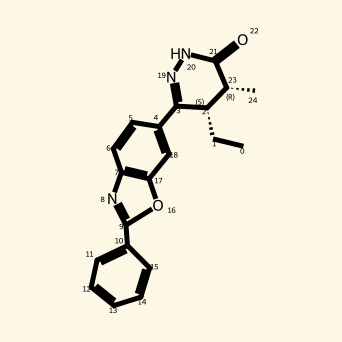 CC[C@@H]1C(c2ccc3nc(-c4ccccc4)oc3c2)=NNC(=O)[C@@H]1C